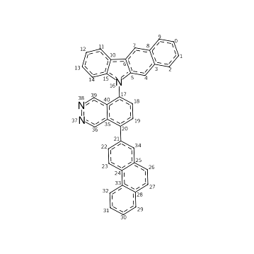 c1ccc2cc3c(cc2c1)c1ccccc1n3-c1ccc(-c2ccc3c(ccc4ccccc43)c2)c2cnncc12